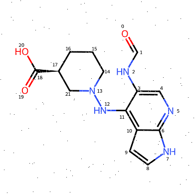 O=CNc1cnc2[nH]ccc2c1NN1CCC[C@H](C(=O)O)C1